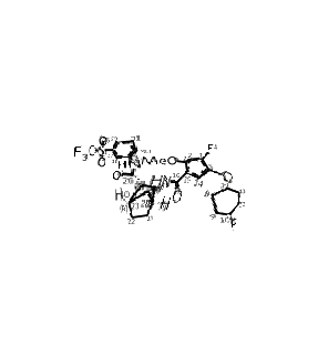 COc1cc(F)c(O[C@H]2CC[C@H](F)CC2)cc1C(=O)N[C@@H]1[C@H]2CC[C@H](C2)[C@@H]1C(=O)Nc1cccc(S(=O)(=O)C(F)(F)F)c1